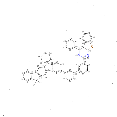 CC1(C)c2ccccc2-c2cc3c(cc21)-c1cc(-c2cccc(-c4cccc(C5=NC6Sc7ccccc7C6C(c6ccccc6)=N5)c4)c2)ccc1C31CCCCC1